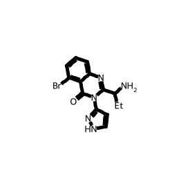 CCC(N)c1nc2cccc(Br)c2c(=O)n1-c1cc[nH]n1